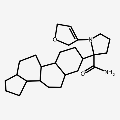 NC(=O)C1(C2CCC3C(CCC4C5CCCC5CCC34)C2)CCCN1C1=CCOC1